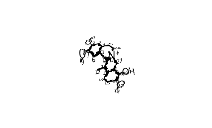 COc1cc2c(cc1OC)-c1c(C)c3ccc(OC)c(O)c3c[n+]1CC2